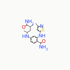 Cc1cc(Nc2cc(NC(C)CC(C)C(N)=O)ccc2C(N)=O)sn1